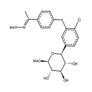 CON=C(C)c1ccc(Cc2cc([C@@H]3O[C@H](OC)[C@@H](O)[C@H](O)[C@H]3O)ccc2Cl)cc1